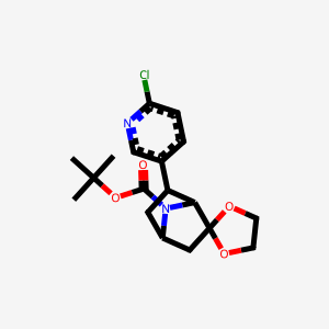 CC(C)(C)OC(=O)N1C2CC(c3ccc(Cl)nc3)C1C1(C2)OCCO1